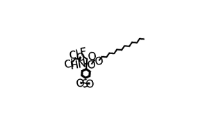 CCCCCCCCCCCCOC(=O)OC(CCF)(NC(=O)C(Cl)Cl)c1ccc(S(C)(=O)=O)cc1